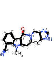 Cc1[nH]cnc1CN1CCc2c(c3cccc(C#N)c3n2C)C1=O